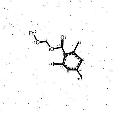 CCOCOC(=O)c1c(C)cc(I)cc1I